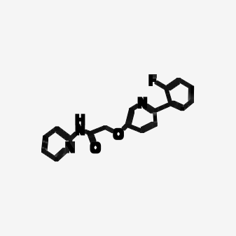 O=C(COc1ccc(-c2ccccc2F)nc1)Nc1ccccn1